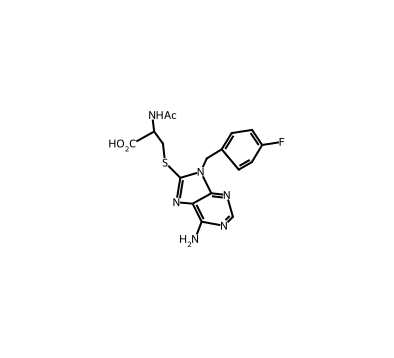 CC(=O)NC(CSc1nc2c(N)ncnc2n1Cc1ccc(F)cc1)C(=O)O